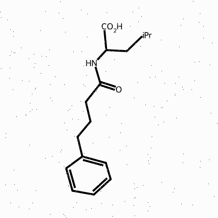 CC(C)CC(NC(=O)CCCc1ccccc1)C(=O)O